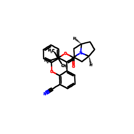 CC(C)(C)OC(=O)N1[C@@H]2CC[C@H]1C/C(=C1/c3ccccc3Oc3c(C#N)cccc31)C2